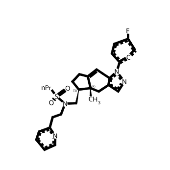 CCCS(=O)(=O)N(CCc1ccccn1)C[C@H]1CCC2=Cc3c(cnn3-c3ccc(F)cc3)C[C@@]21C